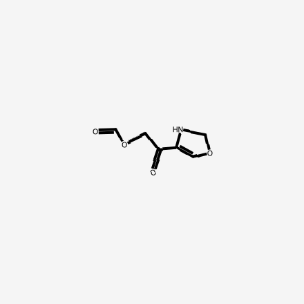 O=COCC(=O)C1=COCN1